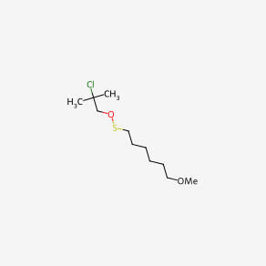 COCCCCCCSOCC(C)(C)Cl